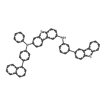 c1ccc(N(c2ccc(-c3cccc4ccccc34)cc2)c2ccc3c(c2)sc2ccc(Nc4cccc(-c5ccc6sc7ccccc7c6c5)c4)cc23)cc1